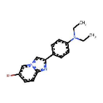 CCN(CC)c1ccc(-c2cn3cc(Br)ccc3n2)cc1